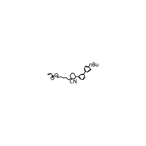 C=CC(=O)OCCCCCC1(C#N)CCCC(c2cccc(-c3ccc(CCCC)cc3)c2)C1